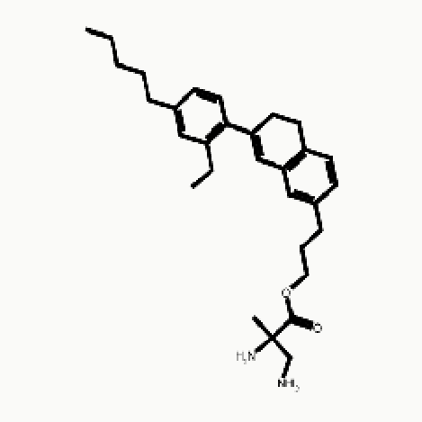 CCCCCc1ccc(C2=Cc3cc(CCCOC(=O)C(C)(N)CN)ccc3CC2)c(CC)c1